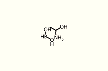 CC(N)O.OBO